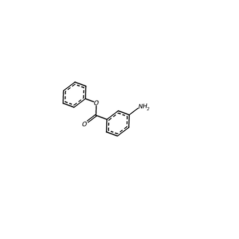 Nc1cccc(C(=O)Oc2ccccc2)c1